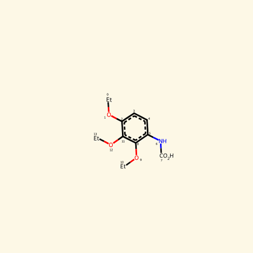 CCOc1ccc(NC(=O)O)c(OCC)c1OCC